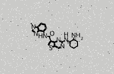 Cn1cnc2c(NC(=O)c3csc4cnc(N[C@@H]5CCCC[C@@H]5N)nc34)cccc21